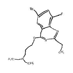 CCc1nc(OCCN(C)C)c2cc(Br)cc(F)c2n1